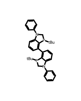 CC(C)(C)P1CN(c2ccccc2)c2cccc(-c3cccc4c3P(C(C)(C)C)CN4c3ccccc3)c21